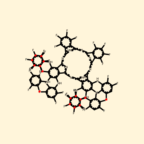 Fc1cc(F)c(F)c(Nc2c(Nc3c(F)c(F)cc(F)c3F)c(Nc3c(F)c(F)cc(F)c3F)c3c(c2Nc2c(F)c(F)cc(F)c2F)-c2nc-3nc3[nH]c(nc4nc(nc5[nH]c(n2)c2c(F)c(F)c(F)c(F)c52)-c2c(F)c(F)c(F)c(F)c2-4)c2c(Nc4c(F)c(F)cc(F)c4F)c(Nc4c(F)c(F)cc(F)c4F)c(Nc4c(F)c(F)cc(F)c4F)c(Nc4c(F)c(F)cc(F)c4F)c32)c1F